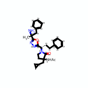 CC(=O)NC1(CC2CC2)CCN([C@@H](CCc2ccccc2)c2nnc([C@](C)(N)Cc3ccccc3)o2)C1=O